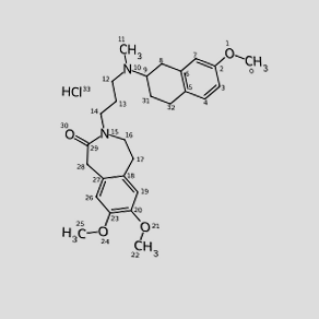 COc1ccc2c(c1)CC(N(C)CCCN1CCc3cc(OC)c(OC)cc3CC1=O)CC2.Cl